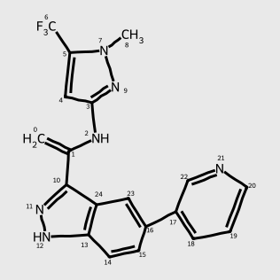 C=C(Nc1cc(C(F)(F)F)n(C)n1)c1n[nH]c2ccc(-c3cccnc3)cc12